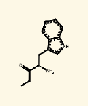 CCC(=O)[C@H](N)Cc1c[nH]c2ccccc12